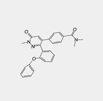 CN(C)C(=O)c1ccc(-c2cc(=O)n(C)nc2-c2ccccc2Oc2ccccc2)cc1